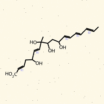 C/C=C/C=C/C=C/C(O)CC(O)C(C)(O)/C=C/C(O)C/C=C/C(=O)O